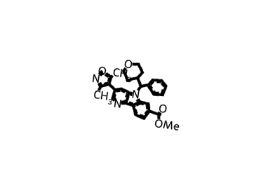 COC(=O)c1ccc2c3ncc(-c4c(C)noc4C)cc3n(C(c3ccccc3)C3CCOCC3)c2c1